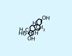 C[C@]12CC[C@H]3[C@@H](C=CC4C=C(O)CC[C@@]43C)[C@@H]1C[C@@H](O)[C@@H]2O